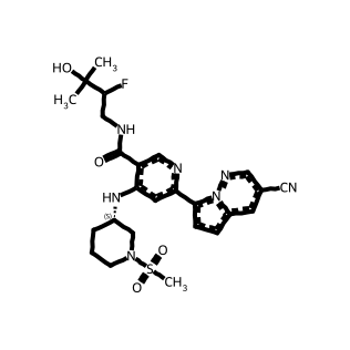 CC(C)(O)C(F)CNC(=O)c1cnc(-c2ccc3cc(C#N)cnn23)cc1N[C@H]1CCCN(S(C)(=O)=O)C1